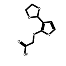 O=C(O)CSc1sccc1C1OCCO1